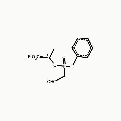 CCOC(=O)[C@@H](C)OP(=O)(CC=O)Oc1ccccc1